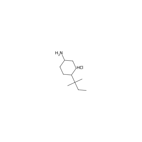 CCC(C)(C)C1CCC(N)CC1.Cl